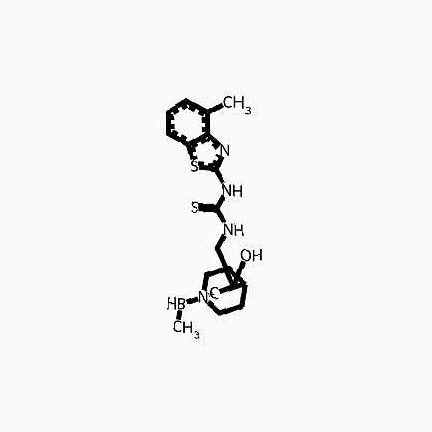 CB[N+]12CCC(CC1)C(O)(CNC(=S)Nc1nc3c(C)cccc3s1)C2